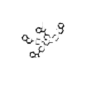 O=C(C(CN1CCN(c2ccc3ccccc3n2)CC1)N1CC=C(c2c[nH]c3ccccc23)CC1)C(CN1CCN(c2ccc3ccccc3n2)CC1)N1CC=C(c2c[nH]c3ccccc23)CC1